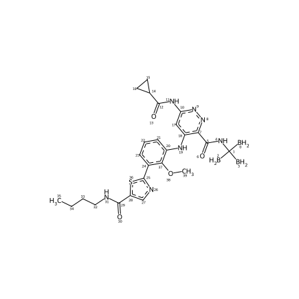 BC(B)(B)NC(=O)c1nnc(NC(=O)C2CC2)cc1Nc1cccc(-c2ncc(C(=O)NCCCC)s2)c1OC